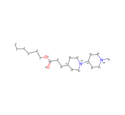 CCCCCCOC(=O)CCC1CCN(C2CCN(C)CC2)CC1